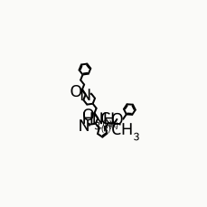 C[C@H]([C@@H]1C=CCC1C(C#N)NC(=O)CC1CCN(C(=O)CCc2ccccc2)CC1)[C@@H](C)OCc1ccccc1